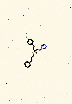 CC(CCc1ccc(F)cc1)(CCn1ccnc1)SCCCc1ccccc1